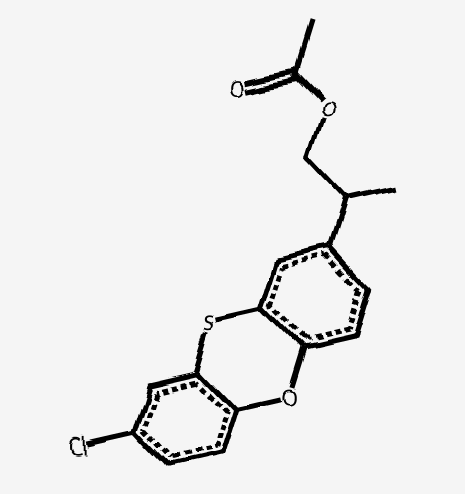 CC(=O)OCC(C)c1ccc2c(c1)Sc1cc(Cl)ccc1O2